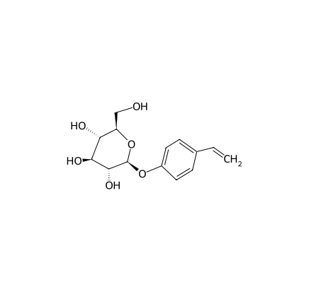 C=Cc1ccc(O[C@@H]2O[C@H](CO)[C@@H](O)[C@H](O)[C@H]2O)cc1